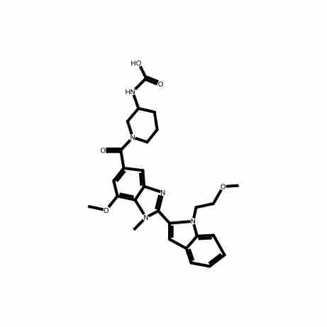 COCCn1c(-c2nc3cc(C(=O)N4CCCC(NC(=O)O)C4)cc(OC)c3n2C)cc2ccccc21